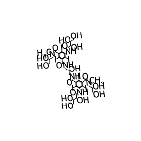 CN(CC(O)CO)C(=O)c1c(I)c(NC(=O)C(O)C(O)CO)c(I)c(C(=O)NCC(O)CNC(=O)c2c(I)c(NC(=O)C(O)C(O)CO)c(I)c(C(=O)N(C)CC(O)CO)c2I)c1I